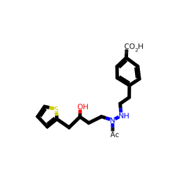 CC(=O)N(CCC(O)Cc1cccs1)NCCc1ccc(C(=O)O)cc1